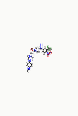 [C-]#[N+]c1ccc(N2CCN(CCC(=O)N3CCC(Nc4ccc([N+](=O)[O-])c(C(F)(F)F)c4)CC3)CC2)cc1